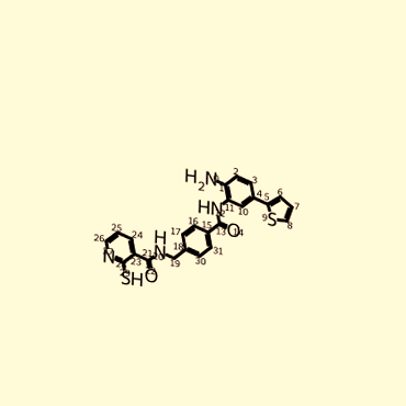 Nc1ccc(-c2cccs2)cc1NC(=O)c1ccc(CNC(=O)c2cccnc2S)cc1